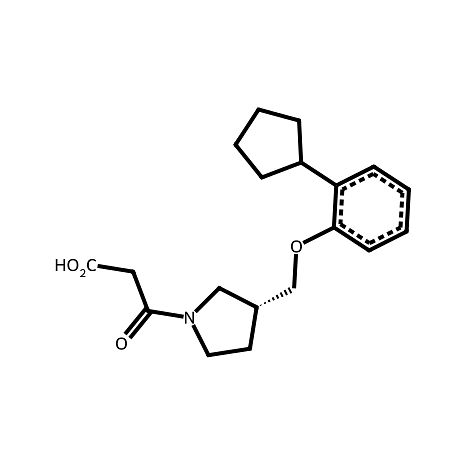 O=C(O)CC(=O)N1CC[C@@H](COc2ccccc2C2CCCC2)C1